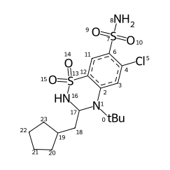 CC(C)(C)N1c2cc(Cl)c(S(N)(=O)=O)cc2S(=O)(=O)NC1CC1CCCC1